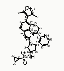 Cc1noc(C)c1-c1ccc2nc(N3CC[C@@H](NS(=O)(=O)C4CC4)C3)n3c2c1OC[C@@H]3c1ccccn1